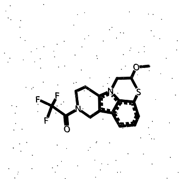 COC1Cn2c3c(c4cccc(c42)S1)CN(C(=O)C(F)(F)F)CC3